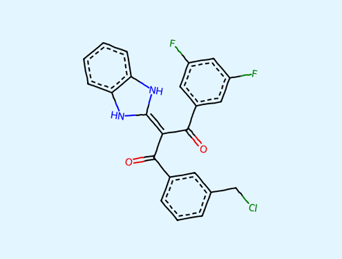 O=C(C(C(=O)c1cccc(CCl)c1)=C1Nc2ccccc2N1)c1cc(F)cc(F)c1